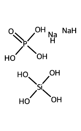 O=P(O)(O)O.O[Si](O)(O)O.[NaH].[NaH]